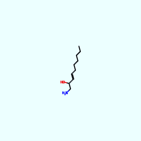 CCCCCCC=CC(O)CN